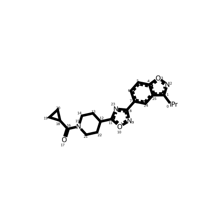 CC(C)c1noc2ccc(-c3noc(C4CCN(C(=O)C5CC5)CC4)n3)cc12